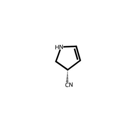 N#C[C@H]1C=CNC1